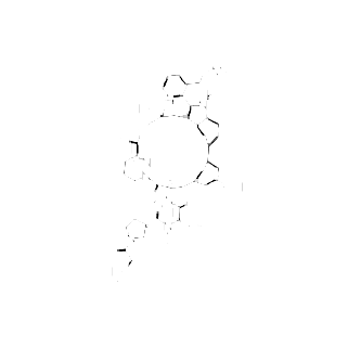 C=CC(=O)N1CC[C@H](C(=O)N(C)[C@H](C(=O)N[C@H]2Cc3cc(O)cc(c3)-c3ccc4c(c3)c(c(-c3ncccc3COC)n4CC)CC(C)(C)COC(=O)[C@@H]3CCCN(N3)C2=O)C(C)C)C1